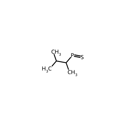 CC(C)C(C)P=S